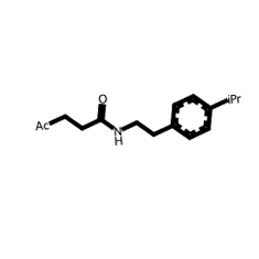 CC(=O)CCC(=O)NCCc1ccc(C(C)C)cc1